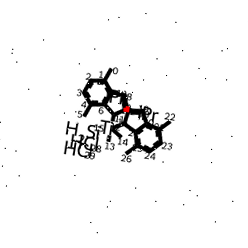 Cc1ccc(C)c2c1C=C(C(C)C)[CH]2[Ti]([CH3])([CH3])(=[SiH2])[CH]1C(C(C)C)=Cc2c(C)ccc(C)c21.Cl.Cl